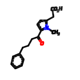 Cn1c(CC(=O)O)ccc1C(=O)CCCc1ccccc1